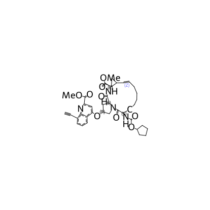 C#Cc1cccc2c(O[C@@H]3C[C@H]4C(=O)N[C@]5(C(=O)OC)CC5/C=C\CCCCC[C@H](NC(=O)OC5CCCC5)C(=O)N4C3)cc(C(=O)OC)nc12